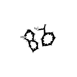 CC(O)c1ccccc1.c1ccc2[nH]ccc2c1